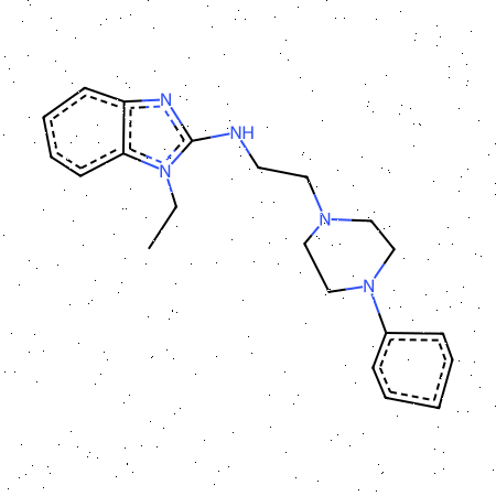 CCn1c(NCCN2CCN(c3ccccc3)CC2)nc2ccccc21